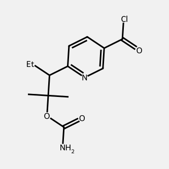 CCC(c1ccc(C(=O)Cl)cn1)C(C)(C)OC(N)=O